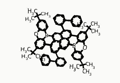 CC(C)(C)c1ccc2c(c1)Oc1cc(C(C)(C)C)cc3c1B2c1cc2c(-c4ccccc4-c4ccccc4)cc4c5c(cc6c(-c7ccccc7-c7ccccc7)cc-3c1c6c25)B1c2ccc(C(C)(C)C)cc2Oc2cc(C(C)(C)C)cc-4c21